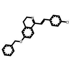 Clc1ccc(C=CC2=NCCc3cc(OCc4ccccc4)ccc32)cc1